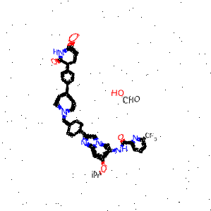 CC(C)Oc1cc2nc(C3CCC(CN4CCC(c5ccc(C6CCC(=O)NC6=O)cc5)CC4)CC3)cn2cc1NC(=O)c1cccc(C(F)(F)F)n1.O=CO